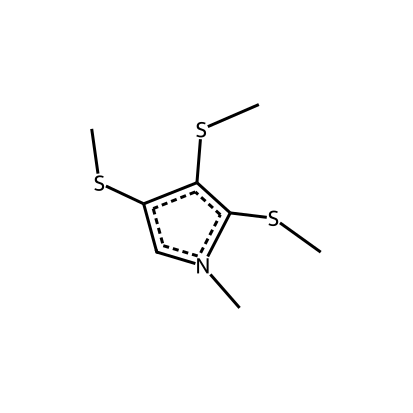 CSc1cn(C)c(SC)c1SC